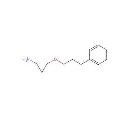 NC1CC1OCCCc1ccccc1